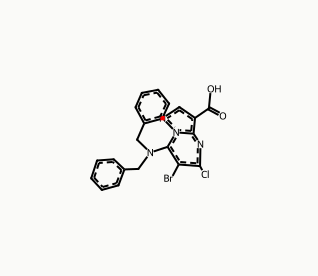 O=C(O)c1cnn2c(N(Cc3ccccc3)Cc3ccccc3)c(Br)c(Cl)nc12